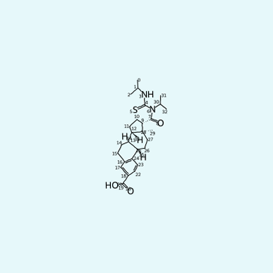 CC(C)NC(=S)N(C(=O)[C@H]1CC[C@H]2[C@@H]3CCc4cc(C(=O)O)ccc4[C@H]3CC[C@]12C)C(C)C